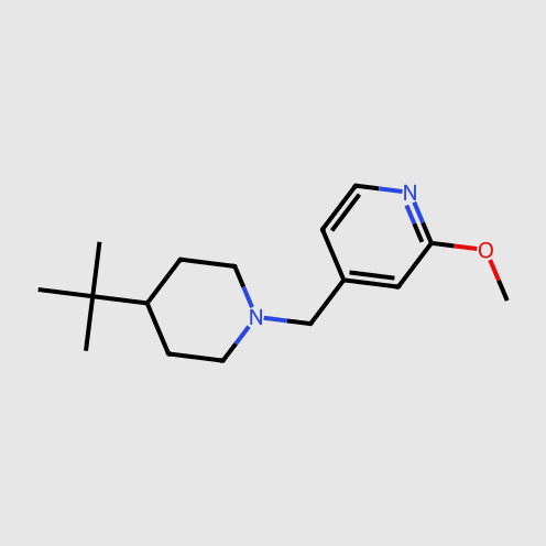 COc1cc(CN2CCC(C(C)(C)C)CC2)ccn1